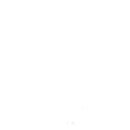 C=CCC[C@@H](C/C=C(\C)CCC(=O)O)C(=C)C